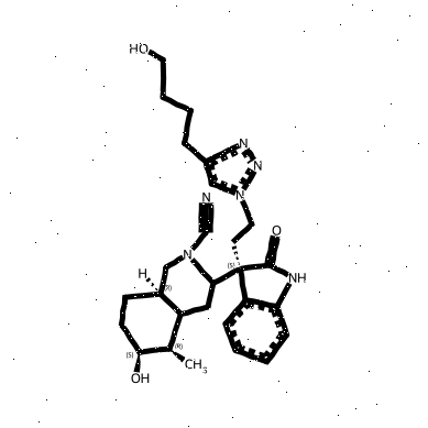 C[C@@H]1C2CC([C@@]3(CCn4cc(CCCCO)nn4)C(=O)Nc4ccccc43)N(C#N)C[C@@H]2CC[C@@H]1O